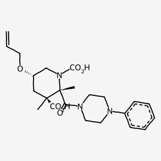 C=CCO[C@@H]1CN(C(=O)O)[C@](C)(C(=O)N2CCN(c3ccccc3)CC2)[C@@](C)(C(=O)O)C1